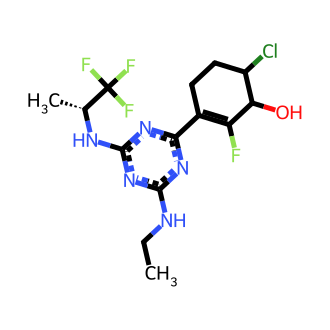 CCNc1nc(N[C@H](C)C(F)(F)F)nc(C2=C(F)C(O)C(Cl)CC2)n1